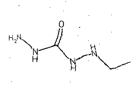 CCNNC(=O)NN